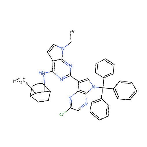 CC(C)Cn1ccc2c(NC3C4CCC(CC4)C3C(=O)O)nc(-c3cn(C(c4ccccc4)(c4ccccc4)c4ccccc4)c4ncc(Cl)nc34)nc21